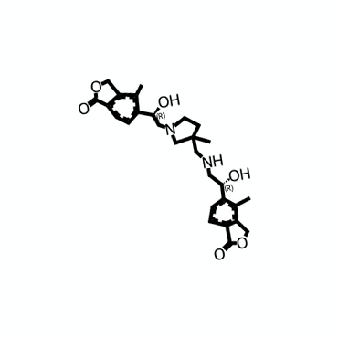 Cc1c([C@@H](O)CNCC2(C)CCN(C[C@H](O)c3ccc4c(c3C)COC4=O)C2)ccc2c1COC2=O